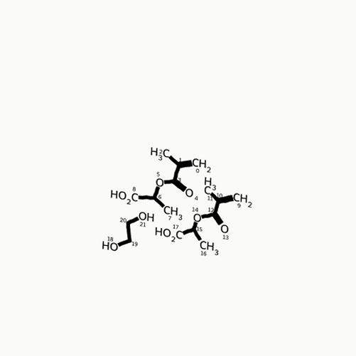 C=C(C)C(=O)OC(C)C(=O)O.C=C(C)C(=O)OC(C)C(=O)O.OCCO